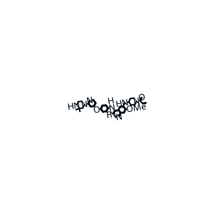 C=CC(=O)N1CCC(Nc2cc3c(Nc4ccc(Oc5ccnc(N6CCNC(C)(C)C6)c5)cc4F)ncnc3cc2OC)CC1